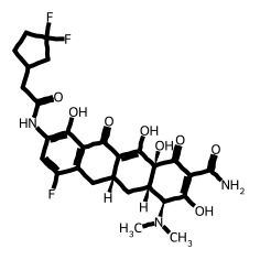 CN(C)[C@@H]1C(O)=C(C(N)=O)C(=O)[C@@]2(O)C(O)=C3C(=O)c4c(O)c(NC(=O)CC5CCC(F)(F)C5)cc(F)c4C[C@H]3C[C@@H]12